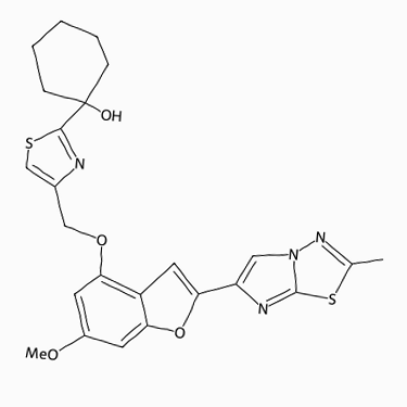 COc1cc(OCc2csc(C3(O)CCCCC3)n2)c2cc(-c3cn4nc(C)sc4n3)oc2c1